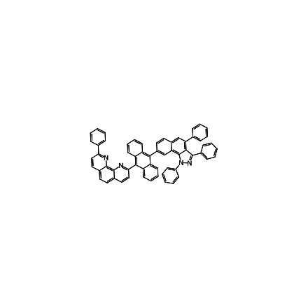 c1ccc(-c2ccc3ccc4ccc(-c5c6ccccc6c(-c6ccc7cc(-c8ccccc8)c8c(-c9ccccc9)nn(-c9ccccc9)c8c7c6)c6ccccc56)nc4c3n2)cc1